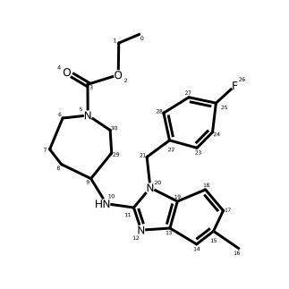 CCOC(=O)N1CCCC(Nc2nc3cc(C)ccc3n2Cc2ccc(F)cc2)CC1